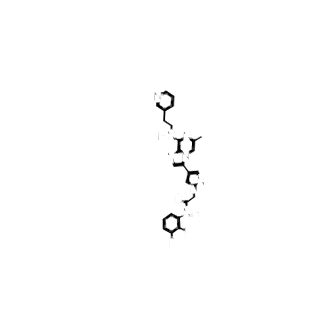 Cc1cn2c(-c3cnn(CC(=O)Nc4cccc(F)c4F)c3)cnc2c(NCCc2cccnc2)n1